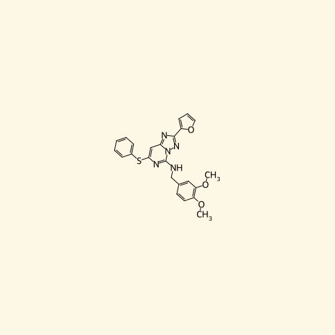 COc1ccc(CNc2nc(Sc3ccccc3)cc3nc(-c4ccco4)nn23)cc1OC